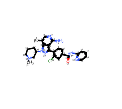 CCc1cnc(N)c2c(-c3ccc(C(=O)Nc4ccccn4)cc3Cl)nn([C@@H]3CCCN(C)C3)c12